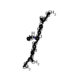 C=CC(=O)OCCCCOCC(COc1ccc(OC(=O)C2CCC(C(=O)OCCc3ccc(OC(=O)C4CCC(C(=O)Oc5ccc(OCC(COCCCCOC(=O)C=C)OC(=O)C=C)cc5)CC4)c(/C=N/Nc4nc5ccccc5s4)c3)CC2)cc1)OC(=O)C=C